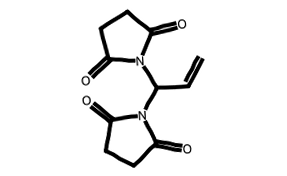 C=C[C](N1C(=O)CCC1=O)N1C(=O)CCC1=O